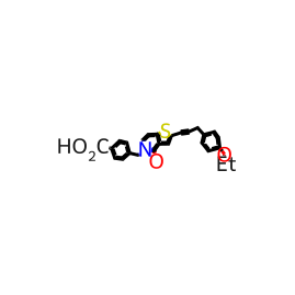 CCOc1ccc(CC#Cc2cc3c(=O)n(Cc4ccc(C(=O)O)cc4)ccc3s2)cc1